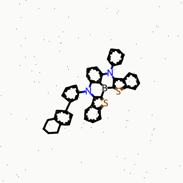 c1ccc(N2c3cccc4c3B(c3sc5ccccc5c32)c2sc3ccccc3c2N4c2cccc(-c3ccc4c(c3)CCCC4)c2)cc1